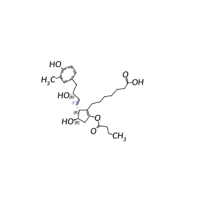 CCCC(=O)OC1=C(CCCCCCC(=O)O)[C@@H](/C=C/[C@H](O)Cc2ccc(O)c(C)c2)[C@H](O)C1